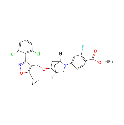 CC(C)(C)OC(=O)c1ccc(N2C[C@@H]3C[C@H]2C[C@@H]3OCc2c(-c3c(Cl)cccc3Cl)noc2C2CC2)cc1F